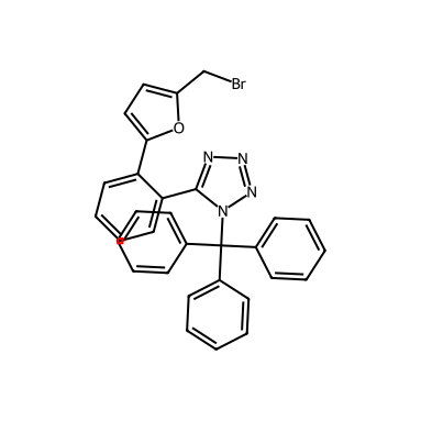 BrCc1ccc(-c2ccccc2-c2nnnn2C(c2ccccc2)(c2ccccc2)c2ccccc2)o1